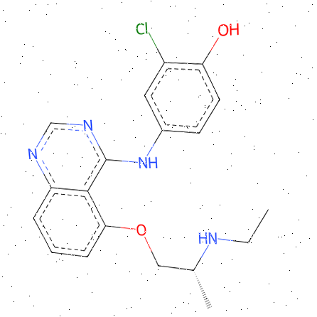 CCN[C@H](C)COc1cccc2ncnc(Nc3ccc(O)c(Cl)c3)c12